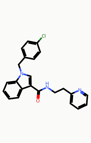 O=C(NCCc1ccccn1)c1cn(Cc2ccc(Cl)cc2)c2ccccc12